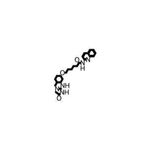 O=C(CCCCCOC1CCC2CN3CC(=O)NC3NC2C1)Nc1ccc2ccccc2n1